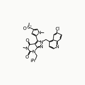 CC(C)Cn1c(=O)n(C)c(=O)c2c(-c3cc([S+](C)[O-])cn3C)n(Cc3ccnc4ccc(Cl)cc34)nc21